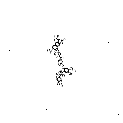 Cc1cnc(NC(=O)Nc2cc(Br)c(C)cc2OC[C@@H]2CN(C(=O)COCCN3c4cc5oc(=O)cc(C(F)(F)F)c5cc4CCC3(C)C)CCO2)cn1